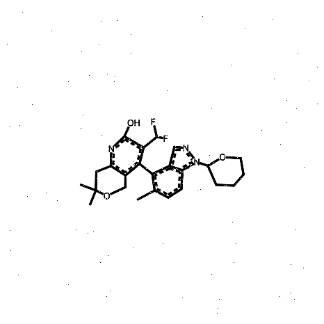 Cc1ccc2c(cnn2C2CCCCO2)c1-c1c2c(nc(O)c1C(F)F)CC(C)(C)OC2